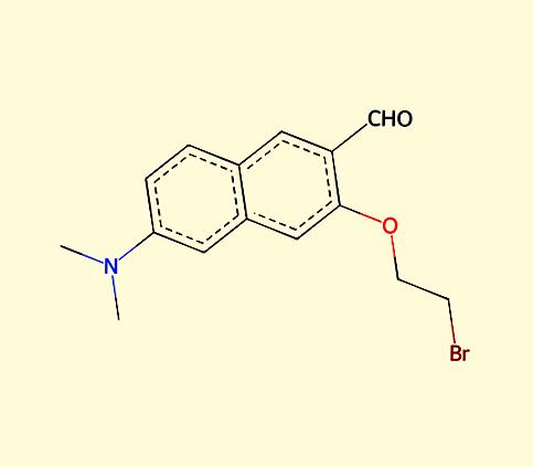 CN(C)c1ccc2cc(C=O)c(OCCBr)cc2c1